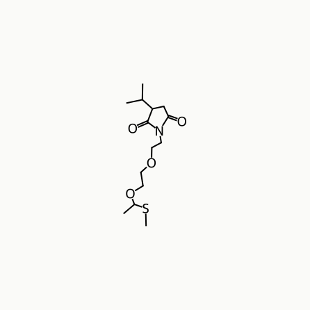 CSC(C)OCCOCCN1C(=O)CC(C(C)C)C1=O